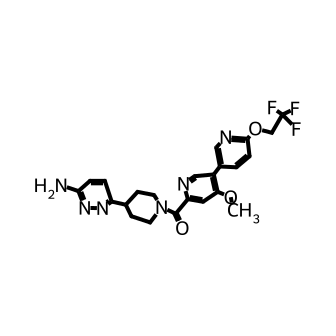 COc1cc(C(=O)N2CCC(c3ccc(N)nn3)CC2)ncc1-c1ccc(OCC(F)(F)F)nc1